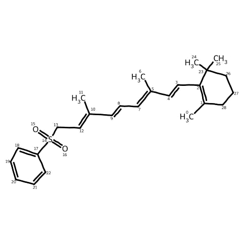 CC1=C(/C=C/C(C)=C/C=C/C(C)=C/CS(=O)(=O)c2ccccc2)C(C)(C)CCC1